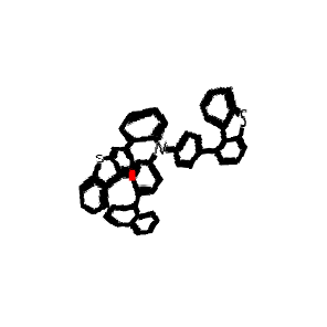 c1ccc(N(c2ccc(-c3cccc4ccccc34)cc2)c2ccc(-c3cccc4sc5ccccc5c34)cc2)c(-c2ccc3c(c2)sc2ccccc23)c1